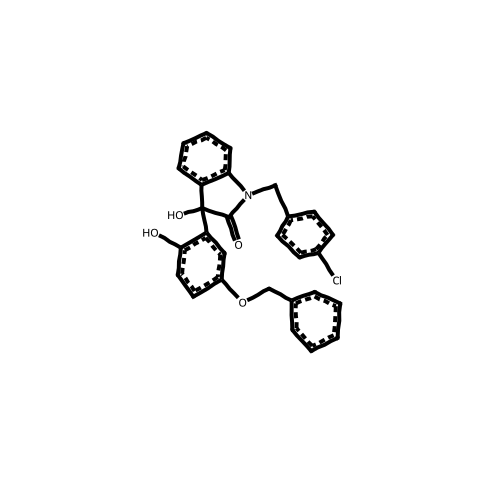 O=C1N(Cc2ccc(Cl)cc2)c2ccccc2C1(O)c1cc(OCc2ccccc2)ccc1O